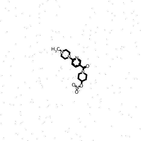 CN1CCN(c2ccc(C(=O)N3CCC(O[N+](=O)[O-])CC3)cn2)CC1